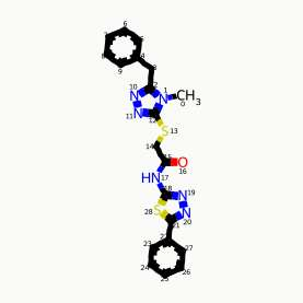 Cn1c(Cc2ccccc2)nnc1SCC(=O)Nc1nnc(-c2ccccc2)s1